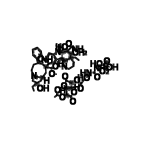 CC(=O)O[C@@H]1C(=O)O[C@@H]2[C@H]1OC(=O)[C@@H]2OC(C)=O.CC[C@]1(O)C[C@H]2C[N@](CCc3c([nH]c4ccccc34)[C@@](C(=O)OC)(c3cc4c(cc3OC)N(C)[C@H]3[C@@](O)(C(N)=O)[C@H](O)[C@]5(CC)C=CCN6CC[C@]43[C@@H]65)C2)C1.NC(=O)NO.O=S(=O)(O)O